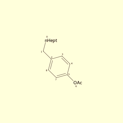 CCCCCCCCc1ccc(OC(C)=O)cc1